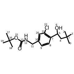 CC(C)(C)CC(O)c1ccc(CNC(=O)OC(C)(C)C)cc1Cl